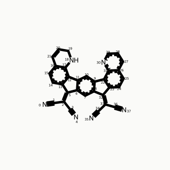 N#CC(C#N)=C1c2cc3c(cc2-c2c1ccc1c2NCC=C1)-c1c(ccc2cccnc12)C3=C(C#N)C#N